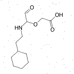 O=CC(NCCC1CCCCC1)OCC(=O)O